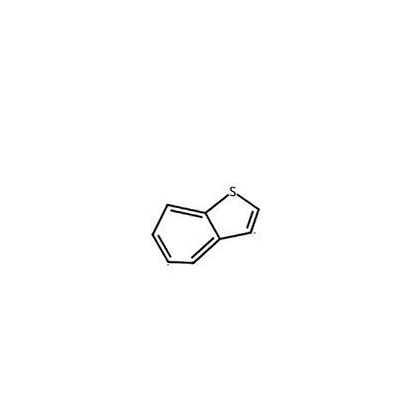 [c]1ccc2sc[c]c2c1